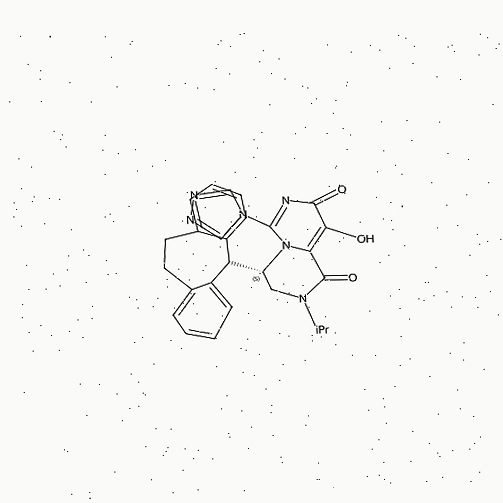 CC(C)N1C[C@H](C2c3ccccc3CCc3ccccc32)n2c(-n3cnnc3)nc(=O)c(O)c2C1=O